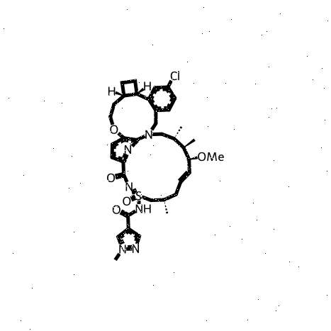 CO[C@H]1/C=C/C[C@H](C)CS(=O)(NC(=O)c2cnn(C)c2)=NC(=O)c2ccc3c(n2)N(Cc2ccc(Cl)cc2[C@H]2CC[C@H]2CCO3)C[C@H](C)[C@H]1C